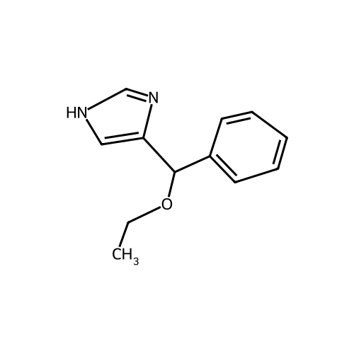 CCOC(c1ccccc1)c1c[nH]cn1